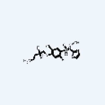 CON(c1nccs1)S(=O)(=O)c1cc(Cl)c(NCC(F)(F)CCN)cc1F